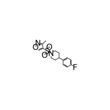 Cc1nocc1S(=O)(=O)N1CCC(c2ccc(F)cc2)CC1